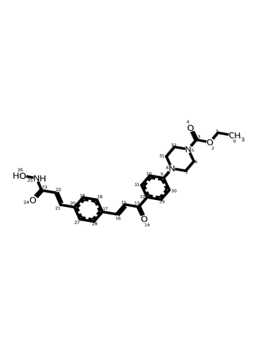 CCOC(=O)N1CCN(c2ccc(C(=O)C=Cc3ccc(C=CC(=O)NO)cc3)cc2)CC1